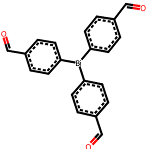 O=Cc1cc[c]([Bi]([c]2ccc(C=O)cc2)[c]2ccc(C=O)cc2)cc1